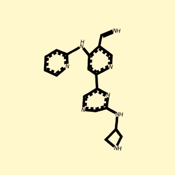 N=Cc1cnc(-c2cncc(NC3CNC3)n2)cc1Nc1ccccn1